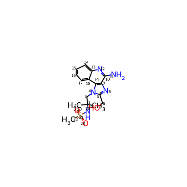 CC(C)(Cn1c(CO)nc2c(N)nc3ccccc3c21)NS(C)(=O)=O